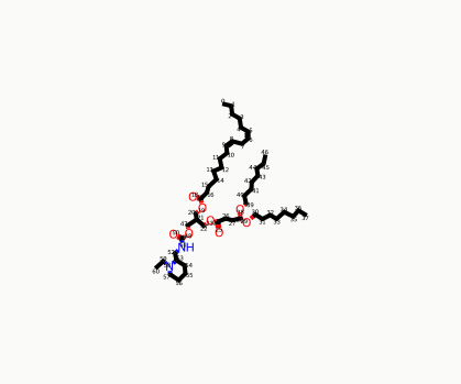 CCCCC/C=C\C/C=C\CCCCCCCC(=O)OCC(COC(=O)CCC(OCCCCCCCC)OCCCCCCCC)COC(=O)NCC1CCCCN1CC